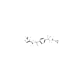 Cn1nccc1C(=O)NC1COc2cc(-c3noc(C4CC4)n3)ccc21